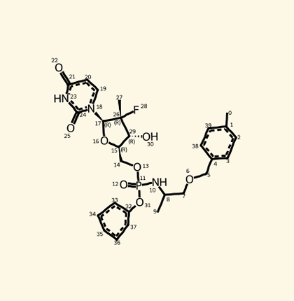 Cc1ccc(COCC(C)NP(=O)(OC[C@H]2O[C@@H](n3ccc(=O)[nH]c3=O)[C@](C)(F)[C@@H]2O)Oc2ccccc2)cc1